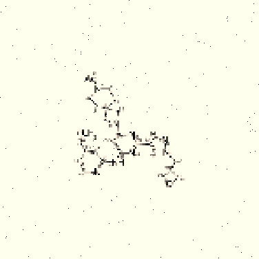 CC(=O)N1CCC2(CC1)CN(c1cc(Nc3cc(OC(F)(F)F)ccn3)nc(-c3cnn(CC4COC4)c3)n1)C2